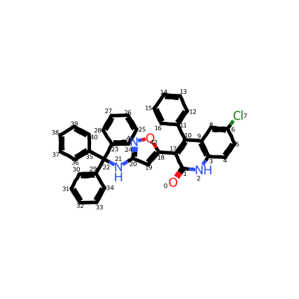 O=c1[nH]c2ccc(Cl)cc2c(-c2ccccc2)c1-c1cc(NC(c2ccccc2)(c2ccccc2)c2ccccc2)no1